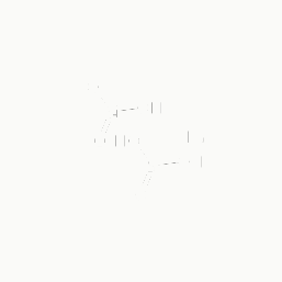 O=[Si](O)O.O=[Si](O)O.[La]